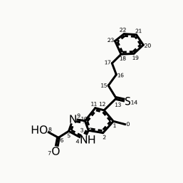 Cc1cc2[nH]c(C(=O)O)nc2cc1C(=S)CCCc1ccccc1